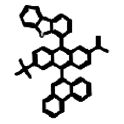 C=C(C)c1ccc2c(-c3cc4ccccc4c4ccccc34)c3cc(C(C)(C)C)ccc3c(-c3cccc4c3oc3ccccc34)c2c1